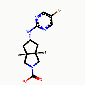 O=C(O)N1C[C@H]2C[C@@H](Nc3ncc(Br)cn3)C[C@H]2C1